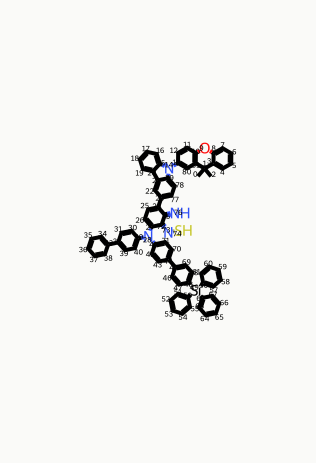 CC1(C)c2ccccc2Oc2ccc(-n3c4ccccc4c4cc(C5=CC=C(N(c6ccc(-c7ccccc7)cc6)c6ccc(-c7ccc([Si](c8ccccc8)(c8ccccc8)c8ccccc8)cc7)cc6)/C(=N/S)C5=N)ccc43)cc21